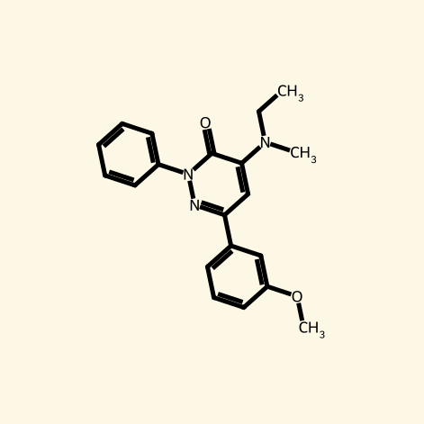 CCN(C)c1cc(-c2cccc(OC)c2)nn(-c2ccccc2)c1=O